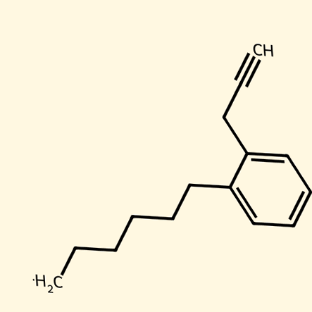 C#CCc1ccccc1CCCCC[CH2]